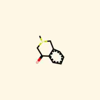 C[S+]1CC(=O)c2ccccc2C1